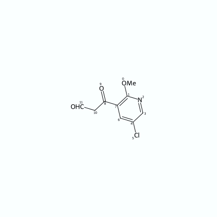 COc1ncc(Cl)cc1C(=O)CC=O